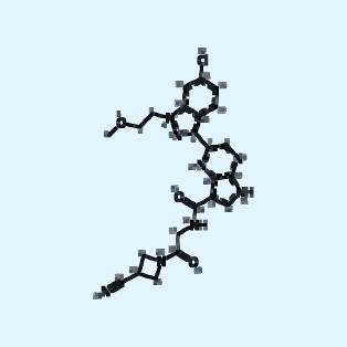 COCCn1nc(-c2cnc3[nH]cc(C(=O)NCC(=O)N4CC(C#N)C4)c3n2)c2ccc(Cl)cc21